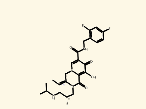 C/C=C1\Cn2cc(C(=O)NCc3ccc(F)cc3F)c(=O)c(O)c2C(=O)N1C[C@H](C)CNC(C)C